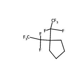 FC(F)(F)C(F)(F)C1(C(F)(F)C(F)(F)F)CCCC1